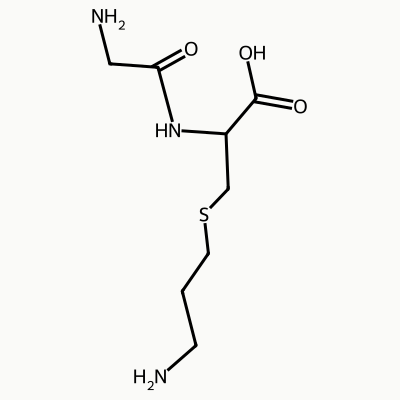 NCCCSCC(NC(=O)CN)C(=O)O